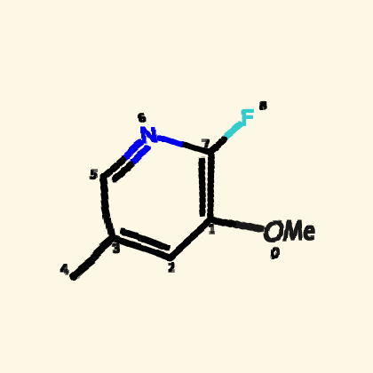 COc1cc(C)cnc1F